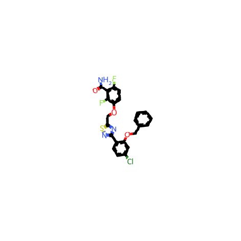 NC(=O)c1c(F)ccc(OCc2nc(-c3ccc(Cl)cc3OCc3ccccc3)ns2)c1F